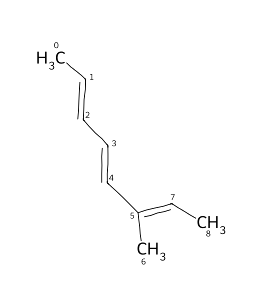 CC=CC=CC(C)=CC